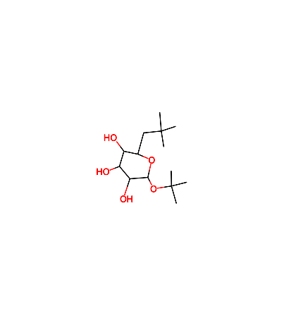 CC(C)(C)CC1OC(OC(C)(C)C)C(O)C(O)C1O